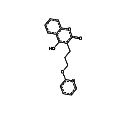 O=c1oc2ccccc2c(O)c1CCCOc1ccccn1